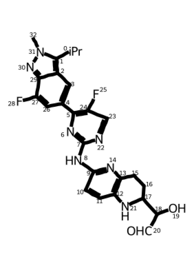 CC(C)c1c2cc(-c3nc(Nc4ccc5c(n4)CCC(C(O)C=O)N5)ncc3F)cc(F)c2nn1C